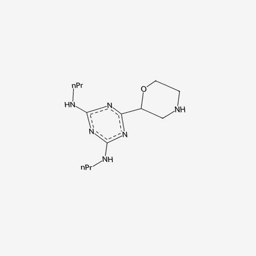 CCCNc1nc(NCCC)nc(C2CNCCO2)n1